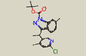 Cc1ccc2c(C(C)c3cnc(Cl)cc3C)nn(C(=O)OC(C)(C)C)c2c1